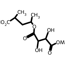 COC(=O)C(O)C(O)C(=O)OC(C)CC(C)C(=O)O